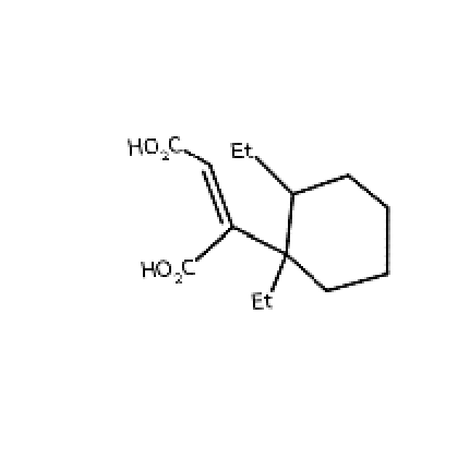 CCC1CCCCC1(CC)C(=CC(=O)O)C(=O)O